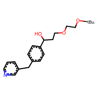 CC(C)(C)OCCOCCC(O)c1ccc(Cc2cccnc2)cc1